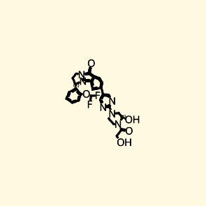 O=C(CO)N1CCN(c2ncc(-c3ccc4c(=O)n5n(c4c3)[C@@H](c3ccccc3OC(F)F)CC5)cn2)C[C@H]1O